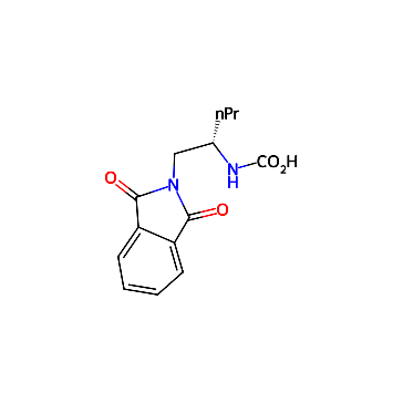 CCC[C@@H](CN1C(=O)c2ccccc2C1=O)NC(=O)O